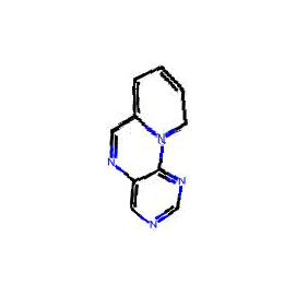 C1=CCN2C(=C1)C=Nc1cncnc12